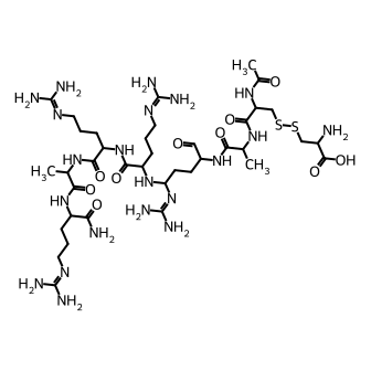 CC(=O)NC(CSSCC(N)C(=O)O)C(=O)NC(C)C(=O)NC(C=O)CCC(N=C(N)N)NC(CCCN=C(N)N)C(=O)NC(CCCN=C(N)N)C(=O)NC(C)C(=O)NC(CCCN=C(N)N)C(N)=O